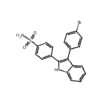 NS(=O)(=O)c1ccc(-c2[nH]c3ccccc3c2-c2ccc(Br)cc2)cc1